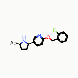 CC(=O)[C@@H]1CC[C@H](c2ccc(OCc3ccccc3F)nc2)N1